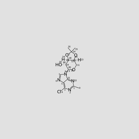 Cc1nc(Cl)c2ncn([C@@H]3OC[C@@H]4OC(C)(C)O[C@@H]4[C@H]3O)c2n1